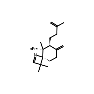 C=C(C)CC[C@H]1C(=C)CC[C@]2(N=CC2(C)C)[C@]1(C)CCC